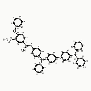 [C-]#[N+]/C(=C\c1ccc(N(c2ccccc2)c2ccc(-c3ccc(N(c4ccccc4)c4ccccc4)cc3)cc2)cc1)c1ccc(Oc2ccccc2)c(C(=O)O)c1